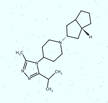 Cc1nnc(C(C)C)n1C1CCN([C@@H]2C[C]3CCC[C@@H]3C2)CC1